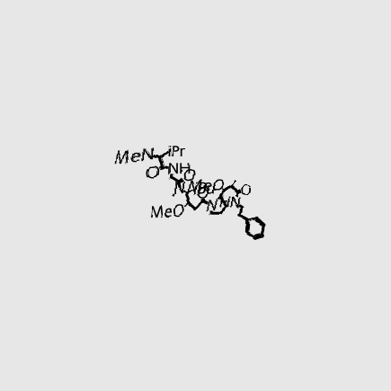 CC[C@H](C)[C@@H]([C@@H](CC(=O)N1CCCC1[C@H](OC)[C@@H](C)C(=O)NCCc1ccccc1)OC)N(C)C(=O)CNC(=O)C(NC)C(C)C